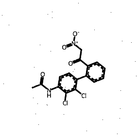 CC(=O)Nc1ccc(-c2ccccc2C(=O)C[N+](=O)[O-])c(Cl)c1Cl